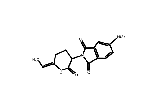 CC=C1CCC(N2C(=O)c3ccc(NC)cc3C2=O)C(=O)N1